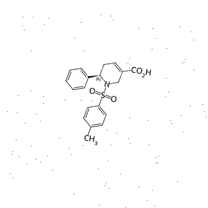 Cc1ccc(S(=O)(=O)N2CC(C(=O)O)=CC[C@@H]2c2ccccc2)cc1